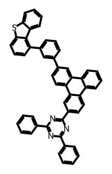 c1ccc(-c2nc(-c3ccccc3)nc(-c3ccc4c5ccccc5c5cc(-c6cccc(-c7cccc8sc9ccccc9c78)c6)ccc5c4c3)n2)cc1